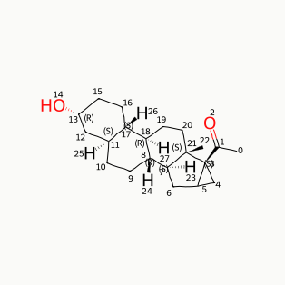 CC(=O)[C@@]12CC1C[C@H]1[C@@H]3CC[C@H]4C[C@H](O)CC[C@@H]4[C@H]3CC[C@@]12C